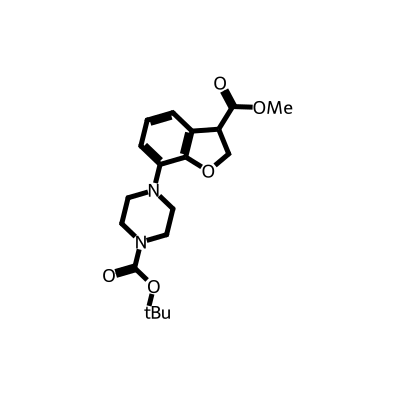 COC(=O)C1COc2c1cccc2N1CCN(C(=O)OC(C)(C)C)CC1